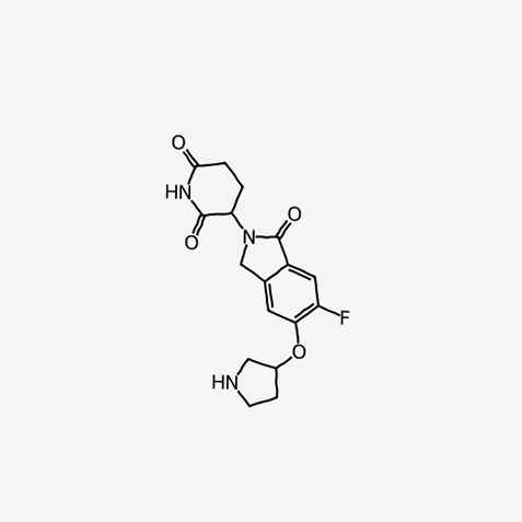 O=C1CCC(N2Cc3cc(OC4CCNC4)c(F)cc3C2=O)C(=O)N1